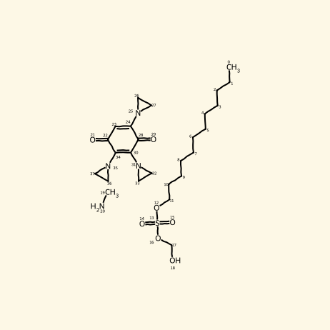 CCCCCCCCCCCCOS(=O)(=O)OCO.CN.O=C1C=C(N2CC2)C(=O)C(N2CC2)=C1N1CC1